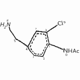 CC(=O)Nc1ccc(CN)cc1Cl